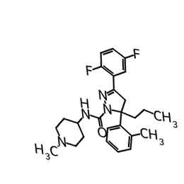 CCCC1(c2ccccc2C)CC(c2cc(F)ccc2F)=NN1C(=O)NC1CCN(C)CC1